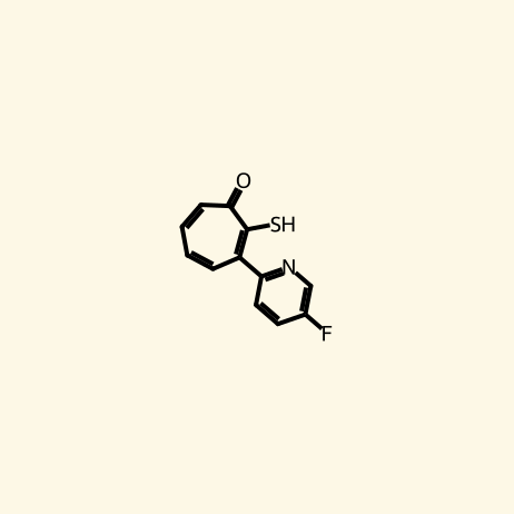 O=c1ccccc(-c2ccc(F)cn2)c1S